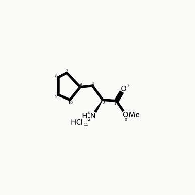 COC(=O)[C@@H](N)CC1CCCC1.Cl